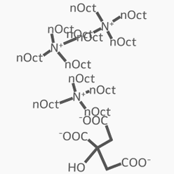 CCCCCCCC[N+](CCCCCCCC)(CCCCCCCC)CCCCCCCC.CCCCCCCC[N+](CCCCCCCC)(CCCCCCCC)CCCCCCCC.CCCCCCCC[N+](CCCCCCCC)(CCCCCCCC)CCCCCCCC.O=C([O-])CC(O)(CC(=O)[O-])C(=O)[O-]